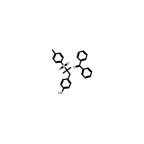 Cc1ccc(S(=O)(=O)C(C)(C)Cc2ccc(S)cc2)cc1.O=C(c1ccccc1)c1ccccc1